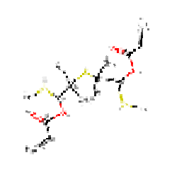 C=CC(=O)OC(SC(C)C)C(C)(SC(C)(C(C)C)C(OC(=O)C=C)SC(C)C)C(C)C